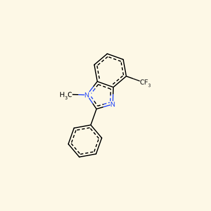 Cn1c(-c2ccccc2)nc2c(C(F)(F)F)cccc21